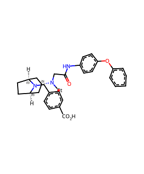 CCN(CC(=O)Nc1ccc(Oc2ccccc2)cc1)[C@@H]1C[C@H]2CC[C@@H](C1)N2Cc1ccc(C(=O)O)cc1